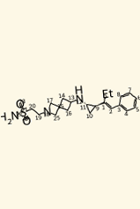 CC/C(=C\c1ccccc1)[C@H]1C[C@@H]1NC1CC2(C1)CN(CCS(N)(=O)=O)C2